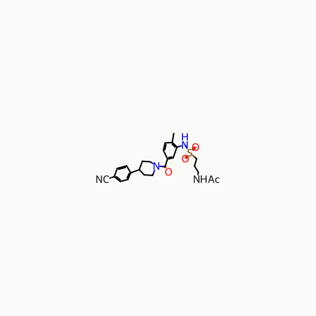 CC(=O)NCCCS(=O)(=O)Nc1cc(C(=O)N2CCC(c3ccc(C#N)cc3)CC2)ccc1C